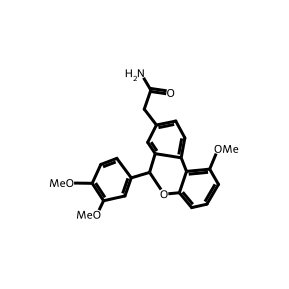 COc1ccc(C2Oc3cccc(OC)c3-c3ccc(CC(N)=O)cc32)cc1OC